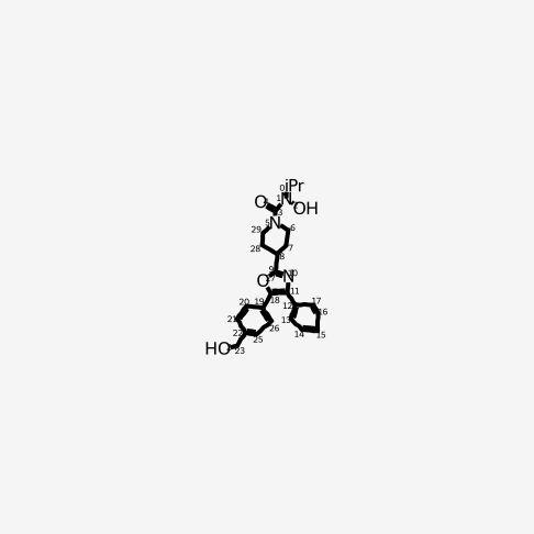 CC(C)N(O)C(=O)N1CCC(c2nc(-c3ccccc3)c(-c3ccc(CO)cc3)o2)CC1